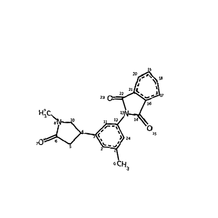 Cc1cc(C2CC(=O)N(C)C2)cc(N2C(=O)c3ccccc3C2=O)c1